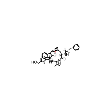 CC(C)[C@@H]1NC(=O)[C@@H](NC(=O)OCc2ccccc2)Cc2ccc3c(c2)C2(c4ccccc4NC2O3)c2oc1nc2-c1nc(CO)co1